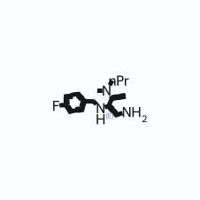 C=C(/C(=C\N)NCc1ccc(F)cc1)N(C)CCC